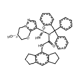 N=S(=O)(c1cnn2c1OC[C@H](O)C2)N(C(=O)Nc1c2c(cc3c1CCC3)CCC2)C(c1ccccc1)(c1ccccc1)c1ccccc1